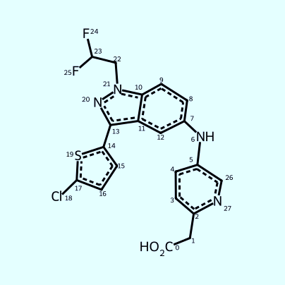 O=C(O)Cc1ccc(Nc2ccc3c(c2)c(-c2ccc(Cl)s2)nn3CC(F)F)cn1